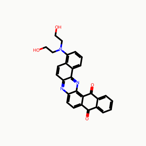 O=C1c2ccccc2C(=O)c2c1ccc1nc3ccc4c(N(CCO)CCO)cccc4c3nc21